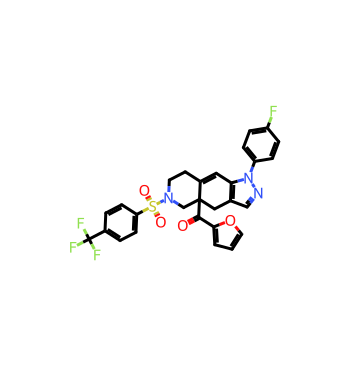 O=C(c1ccco1)C12Cc3cnn(-c4ccc(F)cc4)c3C=C1CCN(S(=O)(=O)c1ccc(C(F)(F)F)cc1)C2